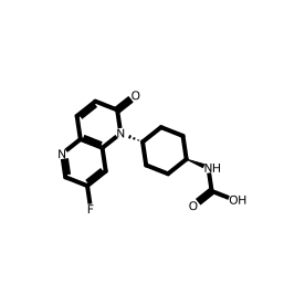 O=C(O)N[C@H]1CC[C@H](n2c(=O)ccc3ncc(F)cc32)CC1